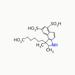 CC1Nc2ccc3c(S(=O)(=O)O)cc(S(=O)(=O)O)cc3c2C1(C)CCCCCC(=O)O